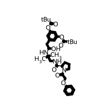 CC(C)(CNC(=O)[C@H]1CCCN1C(=O)COc1ccccc1)NC(O)Cc1cc(OC(=O)C(C)(C)C)cc(OC(=O)C(C)(C)C)c1